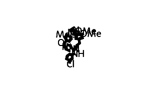 COc1cc(CCN=C(Nc2cccc(Cl)c2)N2CC[N+](C)(C(=O)c3ccc(-n4ccnc4)cc3)CC2)cc(OC)c1OC